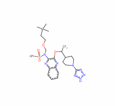 CCCS(=O)(=O)N(COCC[Si](C)(C)C)c1nc2ccccc2nc1OC(C1CCN(c2nn[nH]n2)CC1)C(F)(F)F